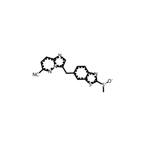 C[S+]([O-])c1nc2ccc(Cc3cnc4ccc(C#N)nn34)cc2s1